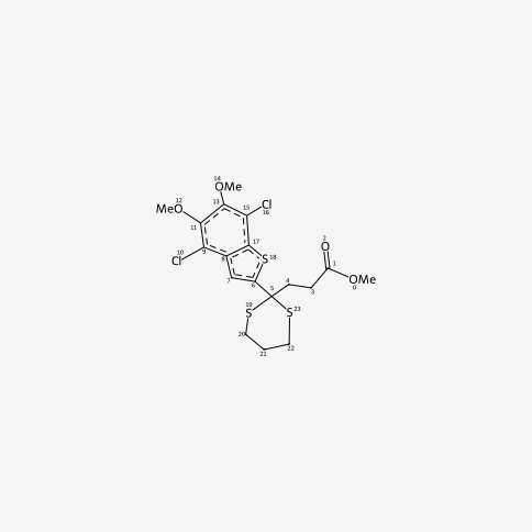 COC(=O)CCC1(c2cc3c(Cl)c(OC)c(OC)c(Cl)c3s2)SCCCS1